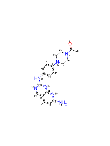 CC(=O)N1CCN(c2ccc(Nc3ncc4ccc(N)nc4n3)cc2)CC1